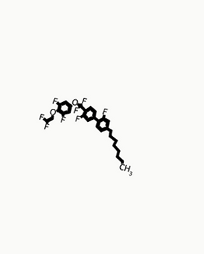 CCCCCCCCc1ccc(-c2ccc(C(F)(F)Oc3cc(F)c(OC=C(F)F)c(F)c3)c(F)c2)c(F)c1